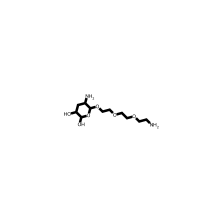 NCCOCCOCCOC1OC(O)C(O)CC1N